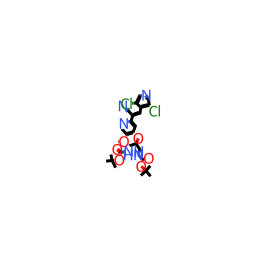 COc1cnc(C(C#N)=Cc2c(Cl)cncc2Cl)cc1OC(CNC(=O)OC(C)(C)C)CNC(=O)OC(C)(C)C